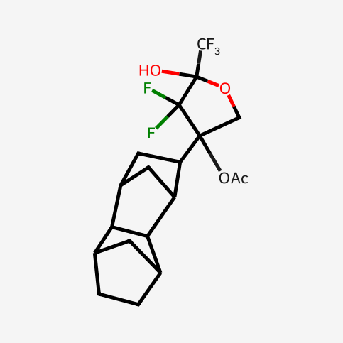 CC(=O)OC1(C2CC3CC2C2C4CCC(C4)C32)COC(O)(C(F)(F)F)C1(F)F